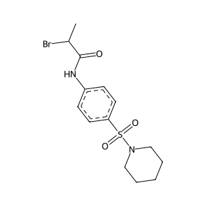 CC(Br)C(=O)Nc1ccc(S(=O)(=O)N2CCCCC2)cc1